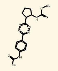 CC(C)(C)OC(=O)NC1CCCC1c1nnc(-c2ccc(NC(=O)C(C)(C)C)cc2)nn1